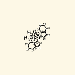 C[CH]=[Zr]([Cl])([O]C)([CH]1C=CC2=C1CCCC2)[CH]1C=CC2=C1CCCC2